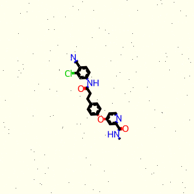 CNC(=O)c1cc(Oc2ccc(CCC(=O)Nc3ccc(C#N)c(Cl)c3)cc2)ccn1